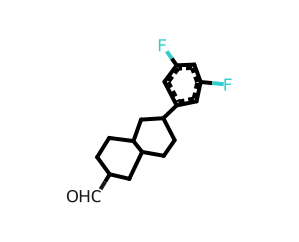 O=CC1CCC2CC(c3cc(F)cc(F)c3)CCC2C1